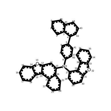 c1ccc2c(-c3ccc(N(c4cc5oc6ccccc6c5c5ccccc45)c4cccc5oc6ccccc6c45)cc3)cccc2c1